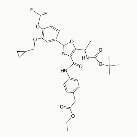 CCOC(=O)Cc1ccc(NC(=O)c2nc(-c3ccc(OC(F)F)c(OCC4CC4)c3)oc2C(C)NC(=O)OC(C)(C)C)cc1